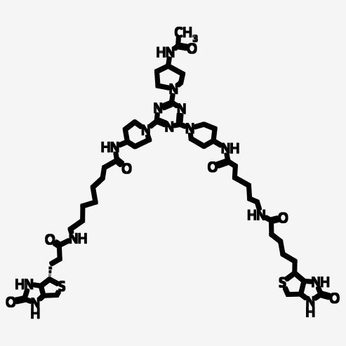 CC(=O)NC1CCN(c2nc(N3CCC(NC(=O)CCCCCCCNC(=O)CC[C@@H]4SCC5NC(=O)NC54)CC3)nc(N3CCC(NC(=O)CCCCCNC(=O)CCCCC4SCC5NC(=O)NC54)CC3)n2)CC1